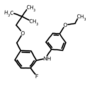 CCOc1ccc(Nc2cc(COCC(C)(C)C)ccc2F)cc1